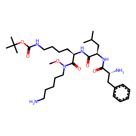 CON(CCCCCN)C(=O)[C@@H](CCCCNC(=O)OC(C)(C)C)NC(=O)[C@@H](CC(C)C)NC(=O)[C@H](N)Cc1ccccc1